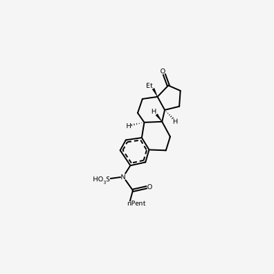 CCCCCC(=O)N(c1ccc2c(c1)CC[C@@H]1[C@@H]2CC[C@]2(CC)C(=O)CC[C@@H]12)S(=O)(=O)O